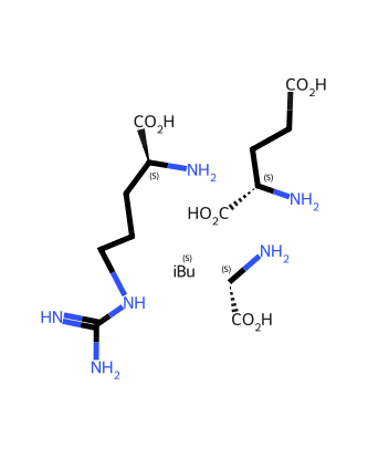 CC[C@H](C)[C@H](N)C(=O)O.N=C(N)NCCC[C@H](N)C(=O)O.N[C@@H](CCC(=O)O)C(=O)O